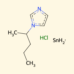 CCCC(C)n1ccnc1.Cl.[SnH2]